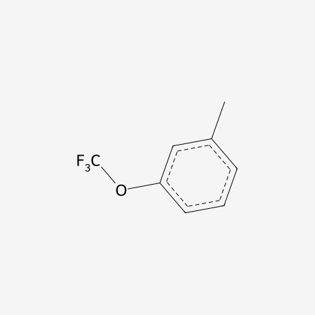 Cc1cccc(OC(F)(F)F)c1